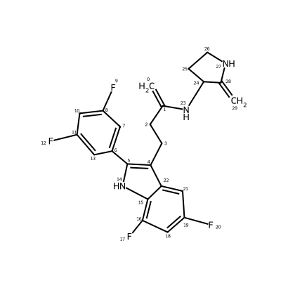 C=C(CCc1c(-c2cc(F)cc(F)c2)[nH]c2c(F)cc(F)cc12)NC1CCNC1=C